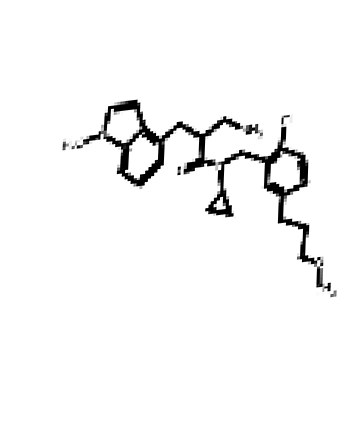 COCCCc1ccc(Cl)c(CN(C(=O)C(CN)Cc2cccc3c2ccn3C)C2CC2)c1